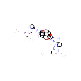 COC(=O)N[C@@H](CCSC)C(=O)N1C2CCC(C2)[C@H]1c1nc2cc(-c3cc4ccc3CCc3ccc(c(-c5ccc6[nH]c([C@@H]7C8CCC(C8)N7C(=O)[C@H](CCSC)NC(=O)OC)nc6c5)c3)CC4)ccc2[nH]1